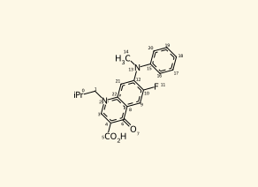 CC(C)Cn1cc(C(=O)O)c(=O)c2cc(F)c(N(C)c3ccccc3)cc21